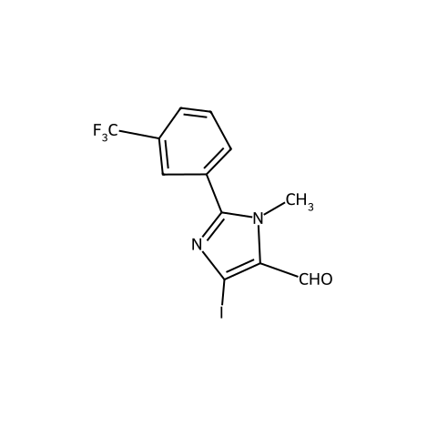 Cn1c(-c2cccc(C(F)(F)F)c2)nc(I)c1C=O